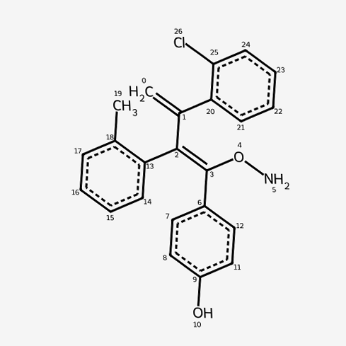 C=C(/C(=C(\ON)c1ccc(O)cc1)c1ccccc1C)c1ccccc1Cl